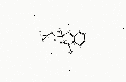 [O-][N+]1=c2ccccc2=NC(O)(OCC2CO2)N1